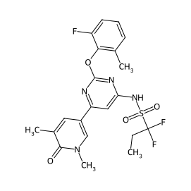 CCC(F)(F)S(=O)(=O)Nc1cc(-c2cc(C)c(=O)n(C)c2)nc(Oc2c(C)cccc2F)n1